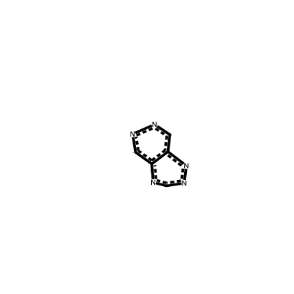 [c]1nncc2nncnc12